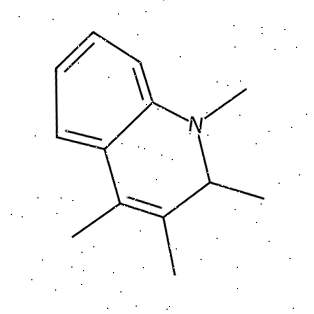 CC1=C(C)C(C)N(C)c2ccccc21